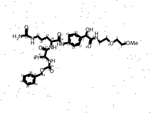 COCCOCCNC(=O)C(O)c1ccc(NC(=O)C(CCCNC(N)=O)NC(=O)C(NC(=O)OCc2ccccc2)C(C)C)cc1